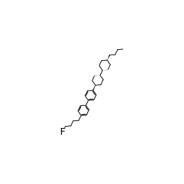 CCCC[C@H]1CC[C@H]([C@H]2CC[C@H](c3ccc(-c4ccc(CCCCF)cc4)cc3)CC2)CC1